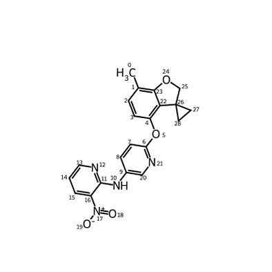 Cc1ccc(Oc2ccc(Nc3ncccc3[N+](=O)[O-])cn2)c2c1OCC21CC1